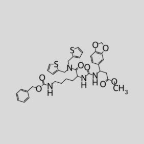 COC(=O)CC(NC(=O)NC(CCCCNC(=O)OCc1ccccc1)C(=O)N(Cc1cccs1)Cc1cccs1)c1ccc2c(c1)OCO2